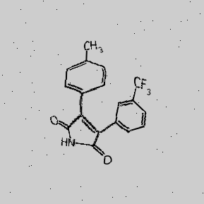 Cc1ccc(C2=C(c3cccc(C(F)(F)F)c3)C(=O)NC2=O)cc1